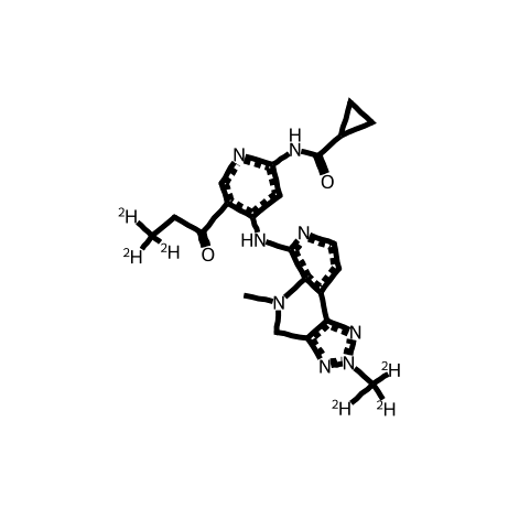 [2H]C([2H])([2H])CC(=O)c1cnc(NC(=O)C2CC2)cc1Nc1nccc2c1N(C)Cc1nn(C([2H])([2H])[2H])nc1-2